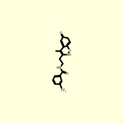 CC1=C(CCNC(=O)c2cccc(C(F)(F)F)c2)NOC2=CCC(=O)C=C21